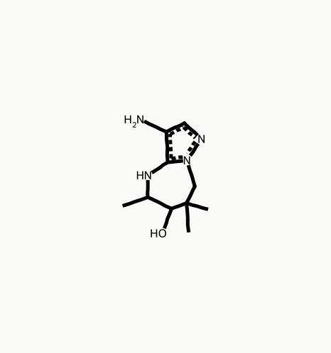 CC1Nc2c(N)cnn2CC(C)(C)C1O